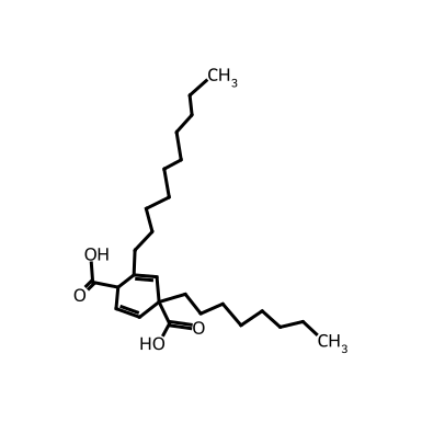 CCCCCCCCCCC1=CC(CCCCCCCC)(C(=O)O)C=CC1C(=O)O